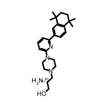 CC1(C)CCC(C)(C)c2cc(-c3cccc(N4CCN(C[C@@H](N)CO)CC4)n3)ccc21